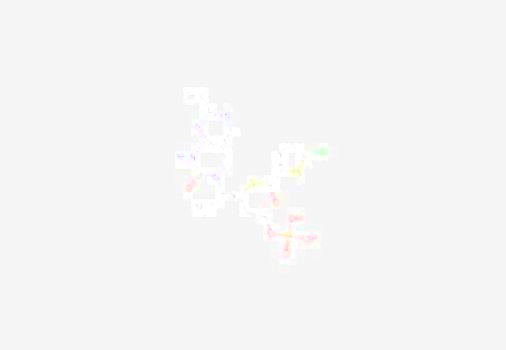 CC(=C(CCOP(=O)(O)O)SC(=O)c1ccc(Cl)s1)N(C=O)Cc1cnc(C)nc1N